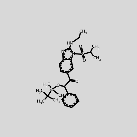 CCNc1nc2ccc(C(=O)C(O[Si](C)(C)C(C)(C)C)c3ccccc3)cc2n1S(=O)(=O)C(C)C